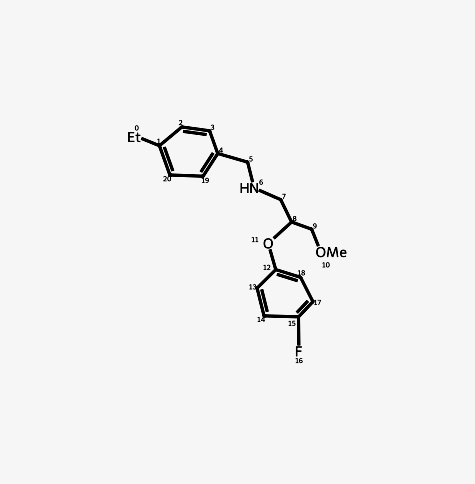 CCc1ccc(CNCC(COC)Oc2ccc(F)cc2)cc1